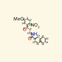 COc1ccc([N+](=O)[O-])c(C(=O)CCNC(=O)c2ccc3ccccc3c2)c1